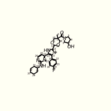 CC1(C(=O)N2CCC(O)C2)COC(c2nc(-c3ccc(F)cc3)c(-c3ccnc(NC4CCCCC4)n3)[nH]2)OC1